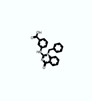 O=C(O)c1cccc(Nc2nc(=O)c3ccccc3n2Cc2ccccc2)c1